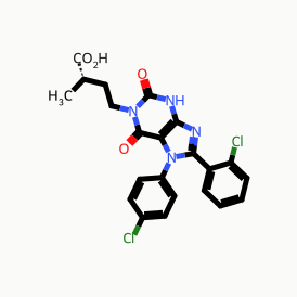 C[C@@H](CCn1c(=O)[nH]c2nc(-c3ccccc3Cl)n(-c3ccc(Cl)cc3)c2c1=O)C(=O)O